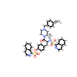 CN(C(Cc1ccc(OS(=O)(=O)c2nccc3ccccc23)cc1)C(=O)N1CCN(Cc2ccc([N+](=O)[O-])cc2)CC1)S(=O)(=O)c1nccc2ccccc12